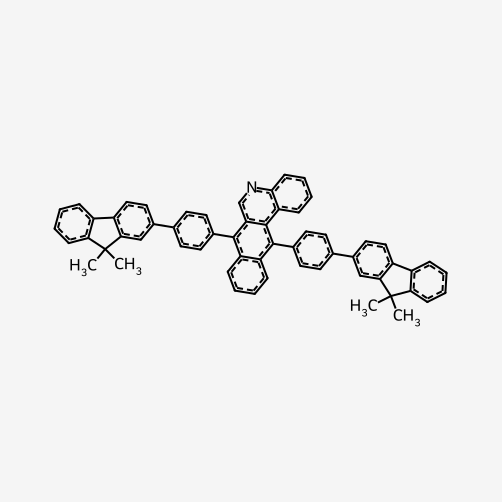 CC1(C)c2ccccc2-c2ccc(-c3ccc(-c4c5ccccc5c(-c5ccc(-c6ccc7c(c6)C(C)(C)c6ccccc6-7)cc5)c5c4cnc4ccccc45)cc3)cc21